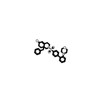 O=C1C=C2CCN(S(=O)(=O)c3ccc(-c4ccccc4N4CCOCC4)cc3)CC2(Cc2ccccc2)CC1